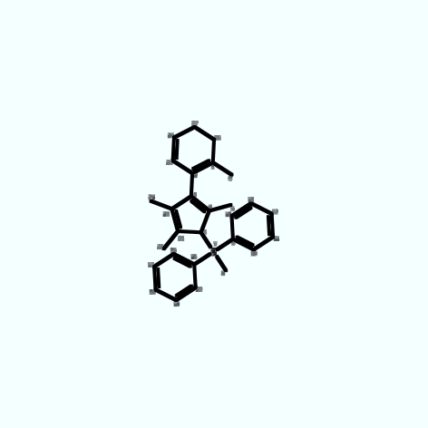 CC1=C(C2=C(C)C(S(C)(c3ccccc3)c3ccccc3)C(C)=C2C)C=CCC1